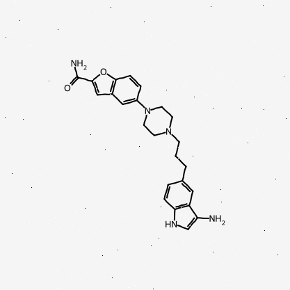 NC(=O)c1cc2cc(N3CCN(CCCc4ccc5[nH]cc(N)c5c4)CC3)ccc2o1